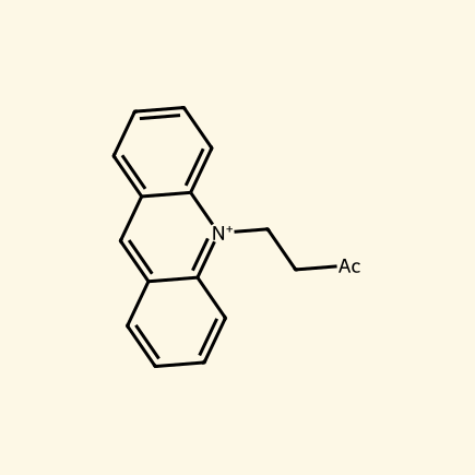 CC(=O)CC[n+]1c2ccccc2cc2ccccc21